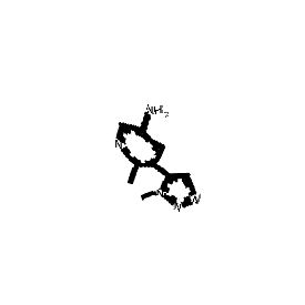 Cc1ncc(N)cc1-c1cnnn1C